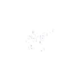 c1ccc(-c2ccc(N(c3ccc(-c4ccccc4)cc3)c3ccc(-c4ccccc4-n4c5cccc(-c6ccccc6)c5c5c(-c6ccccc6)cccc54)cc3)cc2)cc1